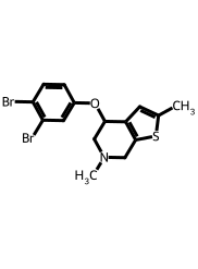 Cc1cc2c(s1)CN(C)CC2Oc1ccc(Br)c(Br)c1